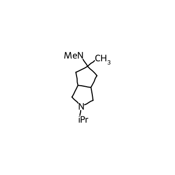 CNC1(C)CC2CN(C(C)C)CC2C1